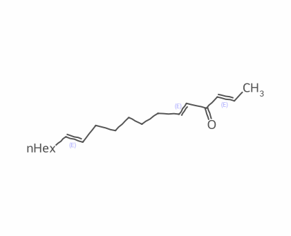 C/C=C/C(=O)/C=C/CCCCC/C=C/CCCCCC